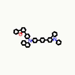 c1ccc(-n2c3ccccc3c3cc(-c4ccc(-c5ccc(N(c6ccc(-c7cccc8c7oc7ccccc78)cc6)c6cccc7ccccc67)cc5)cc4)ccc32)cc1